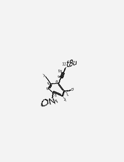 Cc1cc(N=O)cc(C)c1C#CC(C)(C)C